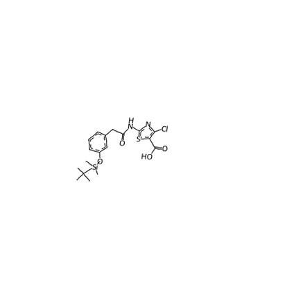 CC(C)(C)[Si](C)(C)Oc1cccc(CC(=O)Nc2nc(Cl)c(C(=O)O)s2)c1